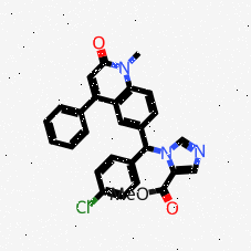 COC(=O)c1cncn1C(c1ccc(Cl)cc1)c1ccc2c(c1)c(-c1ccccc1)cc(=O)n2C